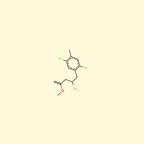 BC(CC(=C)OC)Cc1cc(F)c(C)cc1F